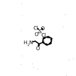 NCC(=O)c1ccccc1.O=S(=O)(Cl)Cl